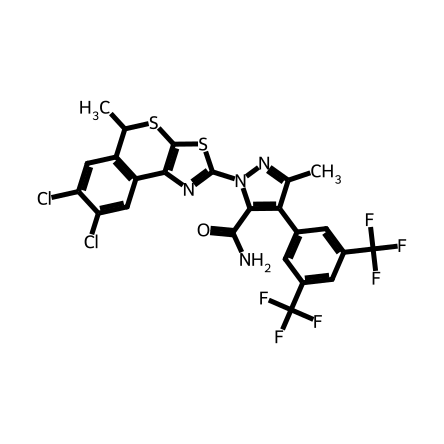 Cc1nn(-c2nc3c(s2)SC(C)c2cc(Cl)c(Cl)cc2-3)c(C(N)=O)c1-c1cc(C(F)(F)F)cc(C(F)(F)F)c1